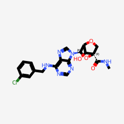 CNC(=O)[C@@]12COC(C1O)[C@H](n1cnc3c(NCc4cccc(Cl)c4)ncnc31)O2